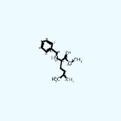 COC(=O)C(CCC(C)C)NCc1ccccc1